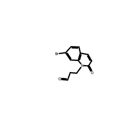 O=CCCn1c(=O)ccc2ccc(Br)cc21